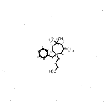 CCCC[N+]1(Cc2ccccc2)CCC(C)(C)CC(C)C1